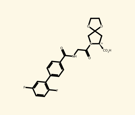 O=C(NCC(=O)N1CC2(C[C@H]1C(=O)O)OCCO2)c1ccc(-c2cc(F)ccc2F)cc1